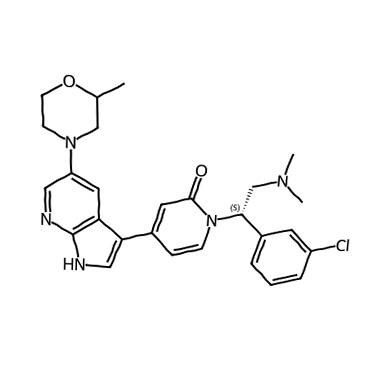 CC1CN(c2cnc3[nH]cc(-c4ccn([C@H](CN(C)C)c5cccc(Cl)c5)c(=O)c4)c3c2)CCO1